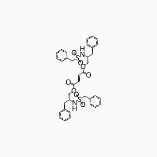 O=C(/C=C/C(=O)OC[C@H](Cc1ccccc1)NS(=O)(=O)Cc1ccccc1)OC[C@H](Cc1ccccc1)NS(=O)(=O)Cc1ccccc1